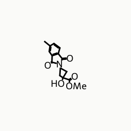 COC(=O)C1(O)CC(N2C(=O)c3ccc(C)cc3C2=O)C1